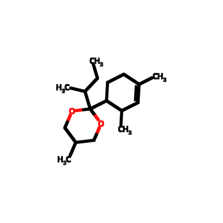 CCC(C)C1(C2CCC(C)=CC2C)OCC(C)CO1